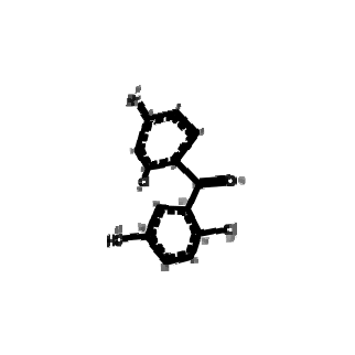 O=C(c1ccc(Br)cc1Cl)c1cc(O)ccc1Cl